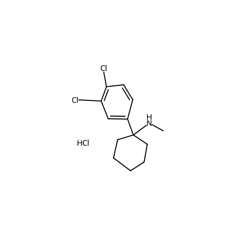 CNC1(c2ccc(Cl)c(Cl)c2)CCCCC1.Cl